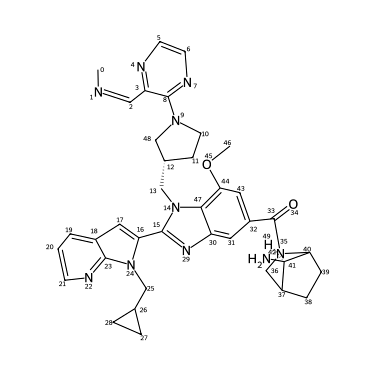 C/N=C\c1nccnc1N1CC[C@H](Cn2c(-c3cc4cccnc4n3CC3CC3)nc3cc(C(=O)N4CC5CCC4[C@@H]5N)cc(OC)c32)C1